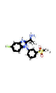 CC(N)c1nc2cc(F)ccc2n1-c1cccc(S(C)(=O)=O)c1